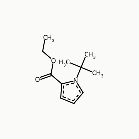 CCOC(=O)c1cccn1C(C)(C)C